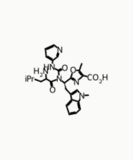 Cc1oc([C@@H](Cc2cn(C)c3ccccc23)N(C(=O)Nc2cccnc2)C(=O)C(N)CC(C)C)nc1C(=O)O